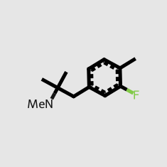 CNC(C)(C)Cc1ccc(C)c(F)c1